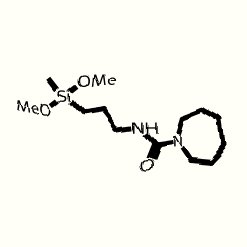 CO[Si](C)(CCCNC(=O)N1CCCCCC1)OC